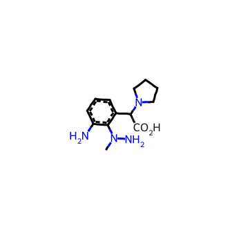 CN(N)c1c(N)cccc1C(C(=O)O)N1CCCC1